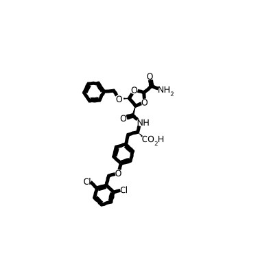 NC(=O)C1O[C@@H](OCc2ccccc2)[C@H](C(=O)N[C@@H](Cc2ccc(OCc3c(Cl)cccc3Cl)cc2)C(=O)O)O1